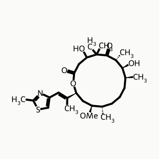 CO[C@H]1C[C@@H](/C(C)=C/c2csc(C)n2)OC(=O)CC(O)C(C)(C)C(=O)[C@H](C)[C@@H](O)[C@@H](C)CCC[C@@H]1C